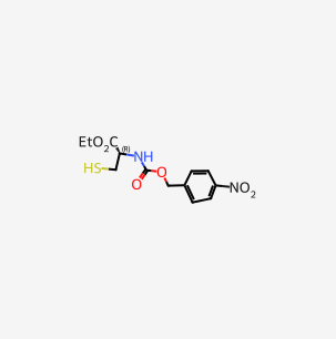 CCOC(=O)[C@H](CS)NC(=O)OCc1ccc([N+](=O)[O-])cc1